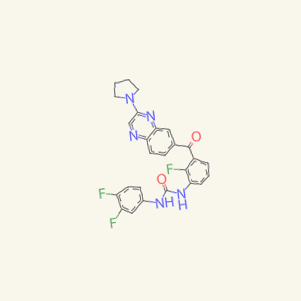 O=C(Nc1ccc(F)c(F)c1)Nc1cccc(C(=O)c2ccc3ncc(N4CCCC4)nc3c2)c1F